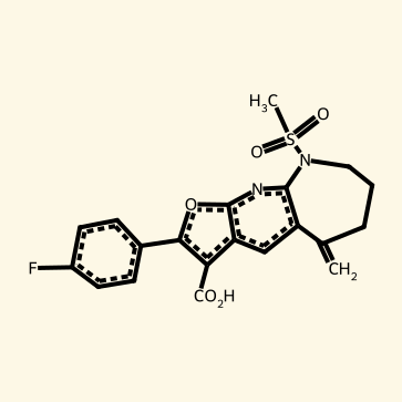 C=C1CCCN(S(C)(=O)=O)c2nc3oc(-c4ccc(F)cc4)c(C(=O)O)c3cc21